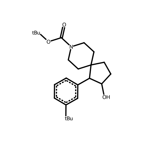 CC(C)(C)OC(=O)N1CCC2(CCC(O)C2c2cccc(C(C)(C)C)c2)CC1